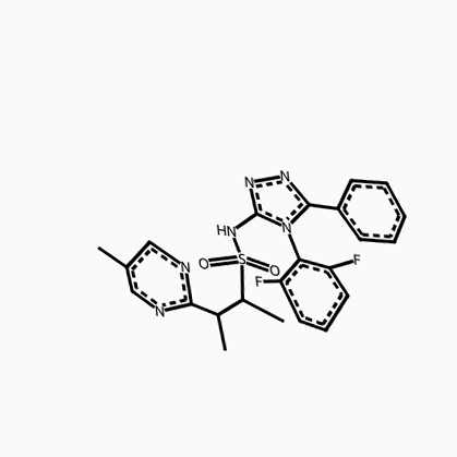 Cc1cnc(C(C)C(C)S(=O)(=O)Nc2nnc(-c3ccccc3)n2-c2c(F)cccc2F)nc1